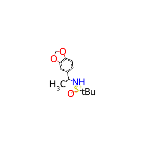 C[C@H](N[S@+]([O-])C(C)(C)C)c1ccc2c(c1)OCO2